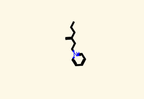 C=C(CCC)CC[n+]1ccccc1